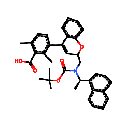 Cc1ccc(C2=CC(CN(C(=O)OC(C)(C)C)[C@H](C)c3cccc4ccccc34)Oc3ccccc32)c(C)c1C(=O)O